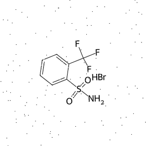 Br.NS(=O)(=O)c1ccccc1C(F)(F)F